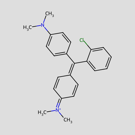 CN(C)c1ccc(C(=C2C=CC(=[N+](C)C)C=C2)c2ccccc2Cl)cc1